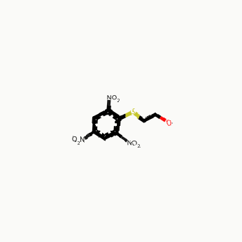 [O]CCSc1c([N+](=O)[O-])cc([N+](=O)[O-])cc1[N+](=O)[O-]